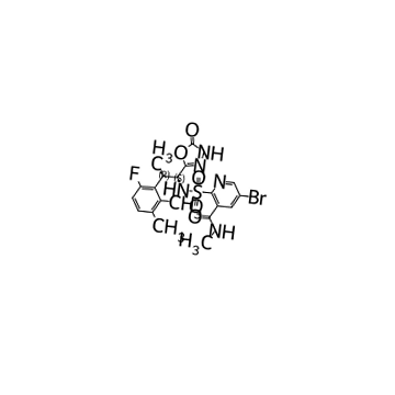 CNC(=O)c1cc(Br)cnc1S(=O)(=O)N[C@H](c1n[nH]c(=O)o1)[C@H](C)c1c(F)ccc(C)c1C